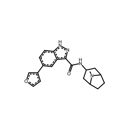 CN1C2CCC1CC(NC(=O)c1n[nH]c3ccc(-c4ccoc4)cc13)C2